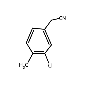 Cc1ccc([CH]C#N)cc1Cl